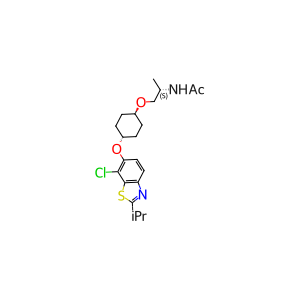 CC(=O)N[C@@H](C)CO[C@H]1CC[C@H](Oc2ccc3nc(C(C)C)sc3c2Cl)CC1